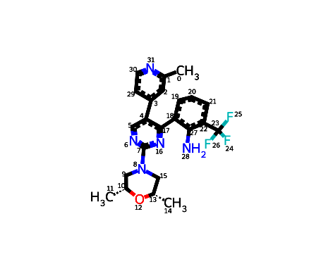 Cc1cc(-c2cnc(N3C[C@@H](C)O[C@@H](C)C3)nc2-c2cccc(C(F)(F)F)c2N)ccn1